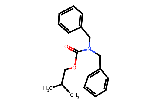 CC(C)COC(=O)N(Cc1ccccc1)Cc1ccccc1